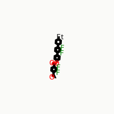 CCC1CCC(c2ccc(-c3ccc(OC(=O)c4ccc(C5CO5)c(F)c4F)cc3)c(F)c2F)CC1